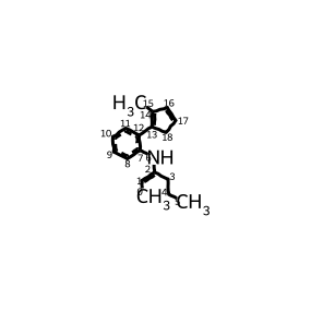 CC=C(CCC)Nc1ccccc1C1=C(C)C=CC1